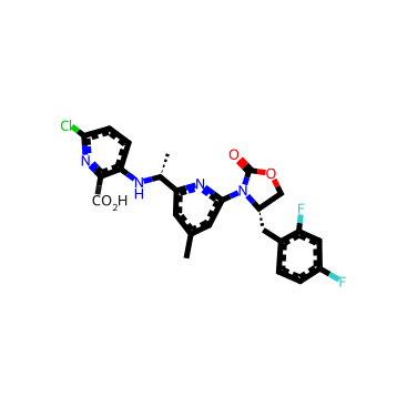 Cc1cc([C@@H](C)Nc2ccc(Cl)nc2C(=O)O)nc(N2C(=O)OC[C@@H]2Cc2ccc(F)cc2F)c1